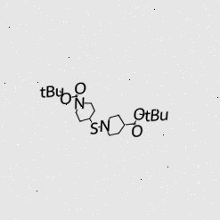 CC(C)(C)OC(=O)C1CCN(SC2CCN(C(=O)OC(C)(C)C)CC2)CC1